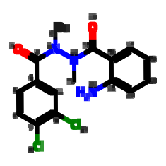 CCC(C)N(C(=O)c1ccc(Cl)c(Cl)c1)N(C)C(=O)c1ccccc1N